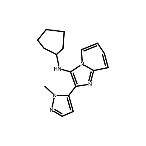 Cn1nccc1-c1nc2ccccn2c1NC1CCCCC1